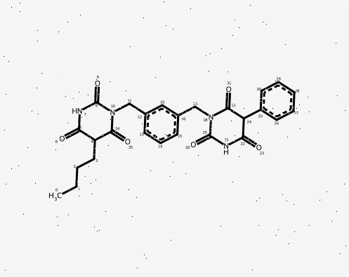 CCCCC1C(=O)NC(=O)N(Cc2cccc(CN3C(=O)NC(=O)C(c4ccccc4)C3=O)c2)C1=O